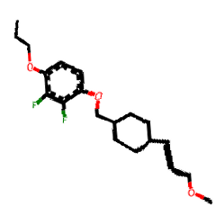 CCCOc1ccc(OCC2CCC(/C=C/COC)CC2)c(F)c1F